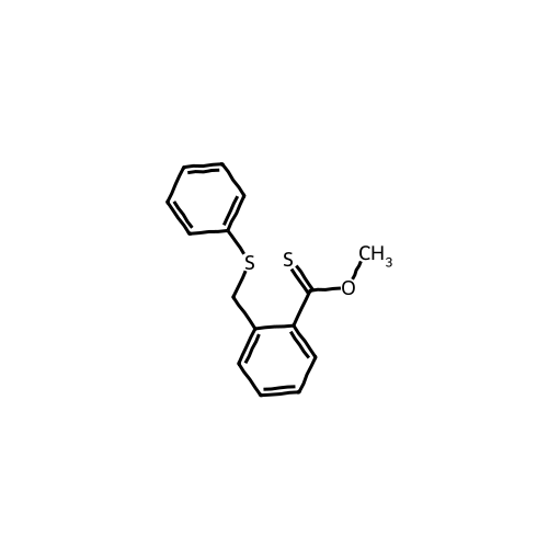 COC(=S)c1ccccc1CSc1ccccc1